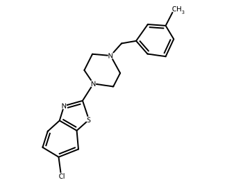 Cc1cccc(CN2CCN(c3nc4ccc(Cl)cc4s3)CC2)c1